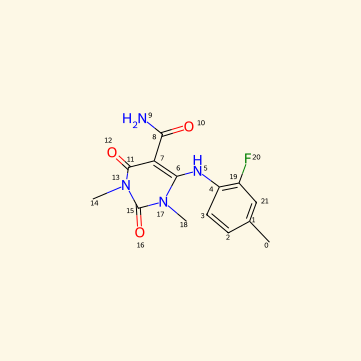 Cc1ccc(Nc2c(C(N)=O)c(=O)n(C)c(=O)n2C)c(F)c1